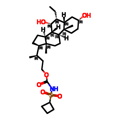 CC[C@H]1[C@@H](O)[C@@H]2[C@H](CC[C@]3(C)[C@@H]([C@H](C)CCOC(=O)NS(=O)(=O)C4CCC4)CC[C@@H]23)[C@@]2(C)CC[C@@H](O)C[C@@H]12